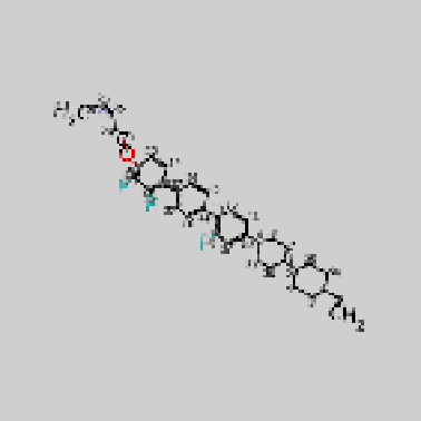 C=CC1CCC(C2CCC(c3ccc(-c4ccc(-c5ccc(OCC/C=C\C)c(F)c5F)cc4)c(F)c3)CC2)CC1